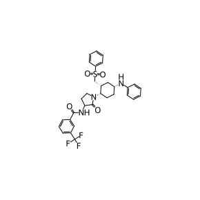 O=C(NC1CCN([C@H]2CC[C@@H](Nc3ccccc3)C[C@H]2CS(=O)(=O)c2ccccc2)C1=O)c1cccc(C(F)(F)F)c1